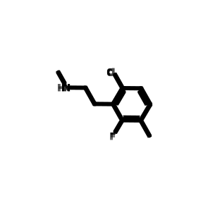 CNCCc1c(Cl)ccc(C)c1F